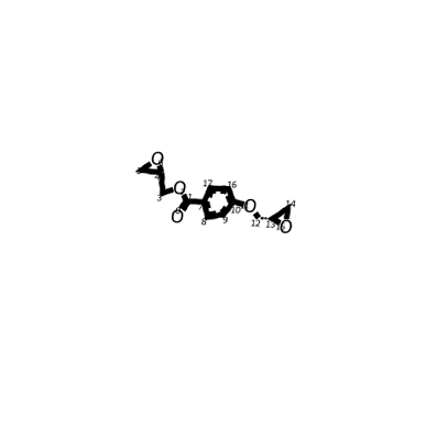 O=C(OCC1CO1)c1ccc(OC[C@@H]2CO2)cc1